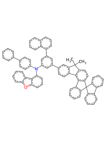 CC1(C)c2cc(-c3cc(-c4cccc5ccccc45)cc(N(c4ccc(-c5ccccc5)cc4)c4cccc5oc6ccccc6c45)c3)ccc2-c2c1ccc1c2-c2ccccc2C12c1ccccc1-c1ccccc12